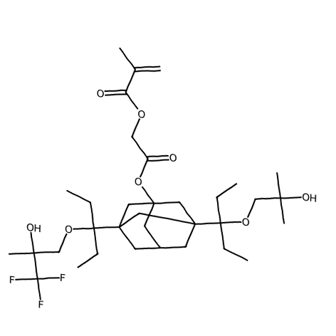 C=C(C)C(=O)OCC(=O)OC12CC3CC(C(CC)(CC)OCC(C)(C)O)(C1)CC(C(CC)(CC)OCC(C)(O)C(F)(F)F)(C3)C2